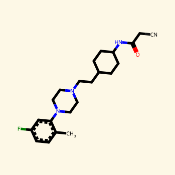 Cc1ccc(F)cc1N1CCN(CCC2CCC(NC(=O)CC#N)CC2)CC1